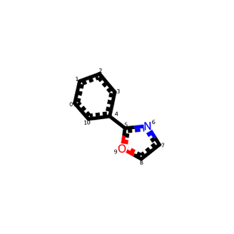 [c]1c[c]cc(-c2ncco2)c1